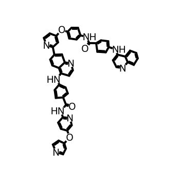 O=C(Nc1ccc(Oc2ccnc(-c3ccc4c(Nc5ccc(C(=O)Nc6ccc(Oc7ccncc7)cn6)cc5)ccnc4c3)c2)cc1)c1ccc(Nc2ccnc3ccccc23)cc1